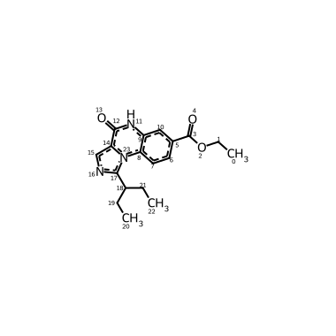 CCOC(=O)c1ccc2c(c1)[nH]c(=O)c1cnc(C(CC)CC)n12